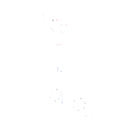 O=C(O)C=C(CC(=O)CCCN1CCC(OC(c2ccc(Cl)cc2)c2ccccn2)CC1)C(=O)O